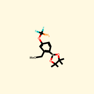 COCc1cc(OC(F)(F)P)ccc1B1OC(C)(C)C(C)(C)O1